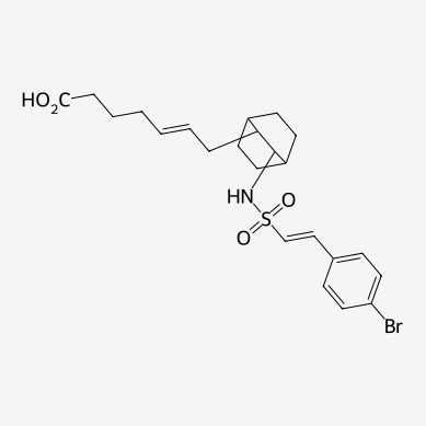 O=C(O)CCCC=CCC1C2CCC(CC2)C1NS(=O)(=O)C=Cc1ccc(Br)cc1